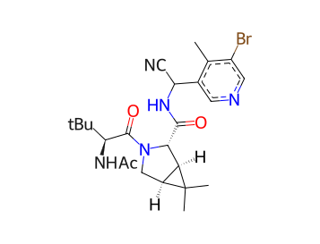 CC(=O)N[C@H](C(=O)N1C[C@H]2[C@@H]([C@H]1C(=O)NC(C#N)c1cncc(Br)c1C)C2(C)C)C(C)(C)C